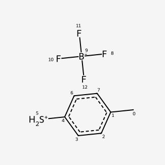 Cc1ccc([SH2+])cc1.F[B-](F)(F)F